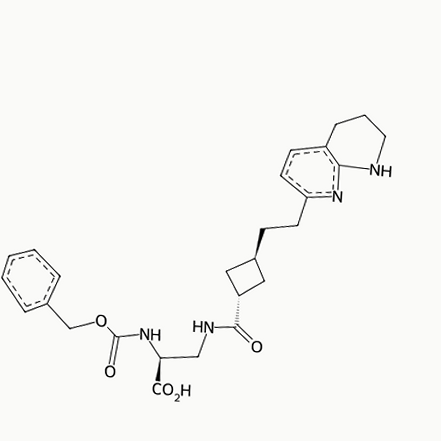 O=C(N[C@@H](CNC(=O)[C@H]1C[C@H](CCc2ccc3c(n2)NCCC3)C1)C(=O)O)OCc1ccccc1